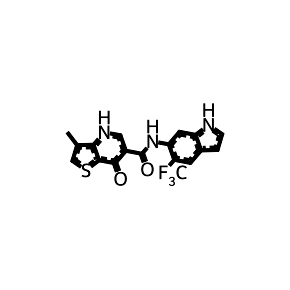 Cc1csc2c(=O)c(C(=O)Nc3cc4[nH]ccc4cc3C(F)(F)F)c[nH]c12